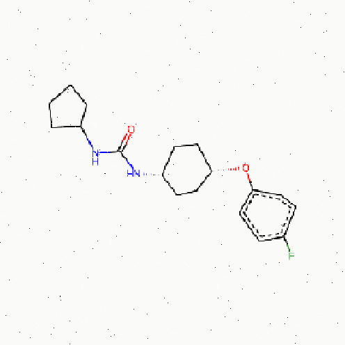 O=C(NC1CCCC1)N[C@H]1CC[C@@H](Oc2ccc(F)cc2)CC1